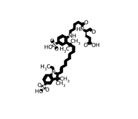 CCN1c2ccc(S(=O)(=O)O)cc2C(C)(C)C1/C=C/C=C/C=C/C=C\C(C)(C)c1cc(S(=O)(=O)O)ccc1NCCCCC(=O)N[C@@H](C=O)CCC(=O)O